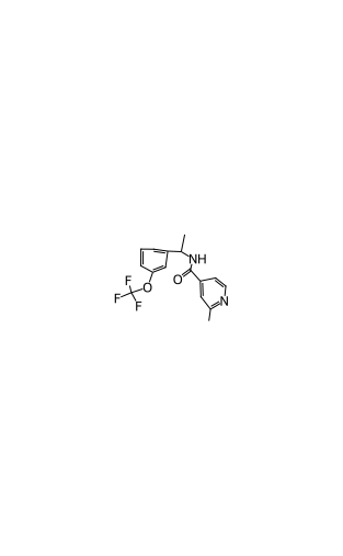 Cc1cc(C(=O)NC(C)c2cccc(OC(F)(F)F)c2)ccn1